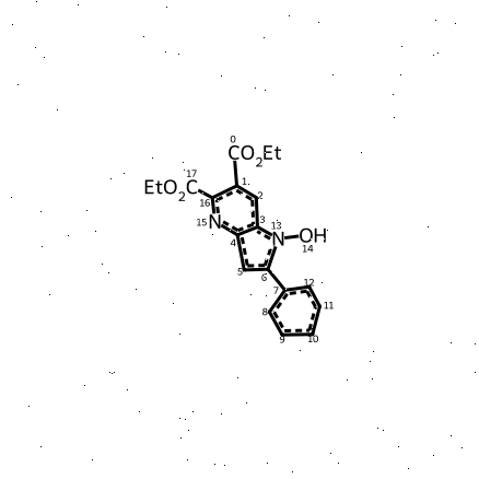 CCOC(=O)c1cc2c(cc(-c3ccccc3)n2O)nc1C(=O)OCC